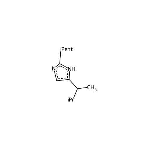 CCCC(C)c1ncc(C(C)C(C)C)[nH]1